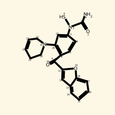 NC(=O)N(S)c1ccc(C(=O)c2cc3ccccc3o2)c(N2CC=CCC2)c1